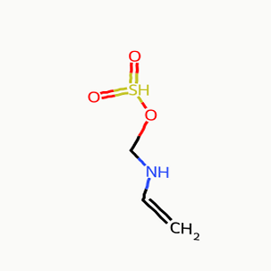 C=CNCO[SH](=O)=O